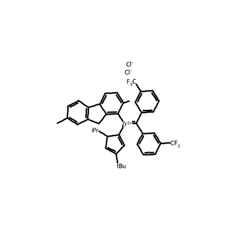 Cc1ccc2c(c1)Cc1c-2ccc(C)[c]1[Zr+2]([C]1=CC(C(C)(C)C)=CC1C(C)C)=[C](c1cccc(C(F)(F)F)c1)c1cccc(C(F)(F)F)c1.[Cl-].[Cl-]